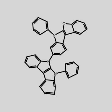 c1ccc(-n2c3cc(-n4c5ccccc5c5c6ccccc6n(-c6ccccc6)c54)ccc3c3c4ccccc4oc32)cc1